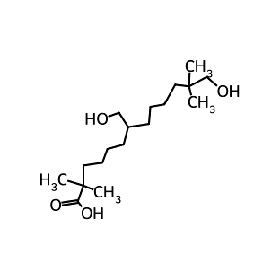 CC(C)(CO)CCCCC(CO)CCCCC(C)(C)C(=O)O